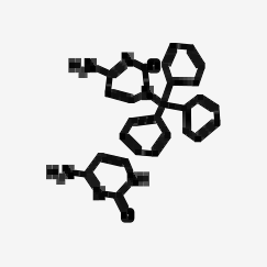 Nc1cc[nH]c(=O)n1.Nc1ccn(C(c2ccccc2)(c2ccccc2)c2ccccc2)c(=O)n1